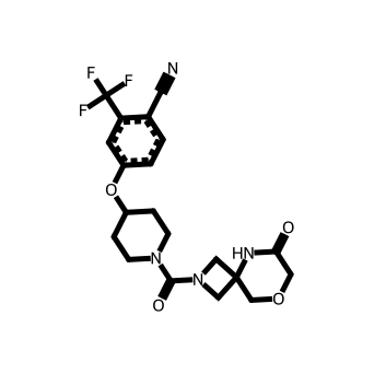 N#Cc1ccc(OC2CCN(C(=O)N3CC4(COCC(=O)N4)C3)CC2)cc1C(F)(F)F